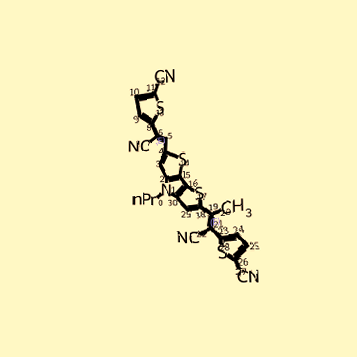 CCCn1c2cc(/C=C(\C#N)c3ccc(C#N)s3)sc2c2sc(/C(C)=C(\C#N)c3ccc(C#N)s3)cc21